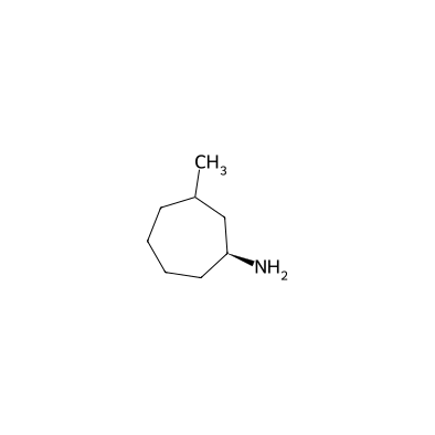 CC1CCCC[C@H](N)C1